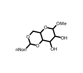 CCCCCCCCCC1OCC2OC(OC)C(O)C(O)C2O1